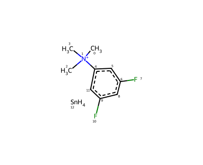 C[N+](C)(C)c1cc(F)cc(F)c1.[SnH4]